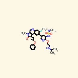 CC(C)NCCOc1ncc(-c2cc3c(cc2F)ncc2c3[C@]3(C[C@@H](Oc4ccccc4)C3)C(=O)N2C)cc1NS(=O)(=O)N(C)C